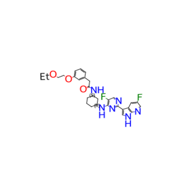 CCOCCOc1cccc(CC(=O)N[C@H]2CCC[C@@H](Nc3nc(-c4c[nH]c5ncc(F)cc45)ncc3F)C2)c1